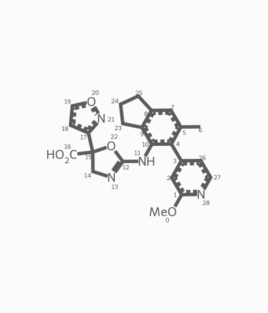 COc1cc(-c2c(C)cc3c(c2NC2=NCC(C(=O)O)(c4ccon4)O2)CCC3)ccn1